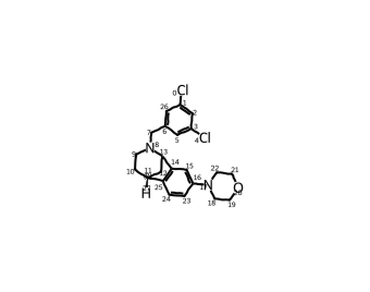 Clc1cc(Cl)cc(CN2CC[C@@H]3CC2c2cc(N4CCOCC4)ccc23)c1